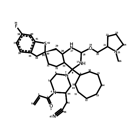 C=CC(=O)N1CCN(C2(C3CCCCCCC3)NC(OCC3CCCN3C)NC3C[C@@]4(CCC32)Cc2ccc(F)cc2S4)CC1CC#N